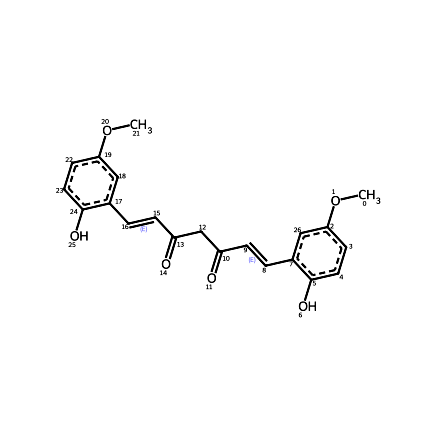 COc1ccc(O)c(/C=C/C(=O)CC(=O)/C=C/c2cc(OC)ccc2O)c1